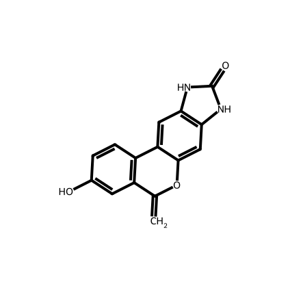 C=C1Oc2cc3[nH]c(=O)[nH]c3cc2-c2ccc(O)cc21